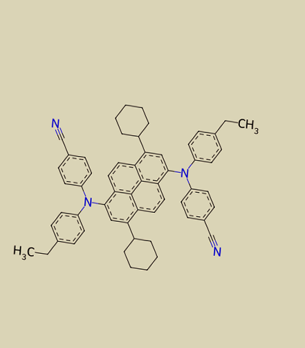 CCc1ccc(N(c2ccc(C#N)cc2)c2cc(C3CCCCC3)c3ccc4c(N(c5ccc(C#N)cc5)c5ccc(CC)cc5)cc(C5CCCCC5)c5ccc2c3c54)cc1